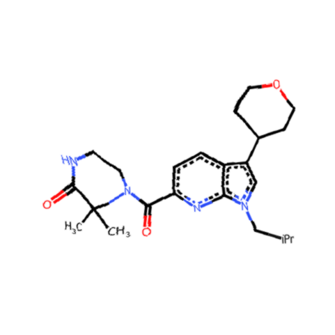 CC(C)Cn1cc(C2CCOCC2)c2ccc(C(=O)N3CCNC(=O)C3(C)C)nc21